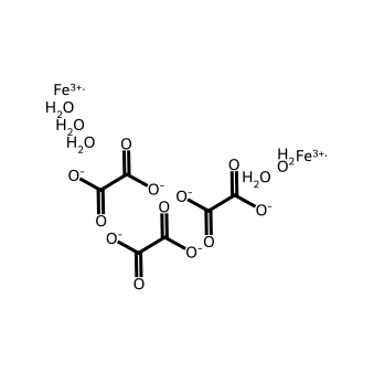 O.O.O.O.O.O=C([O-])C(=O)[O-].O=C([O-])C(=O)[O-].O=C([O-])C(=O)[O-].[Fe+3].[Fe+3]